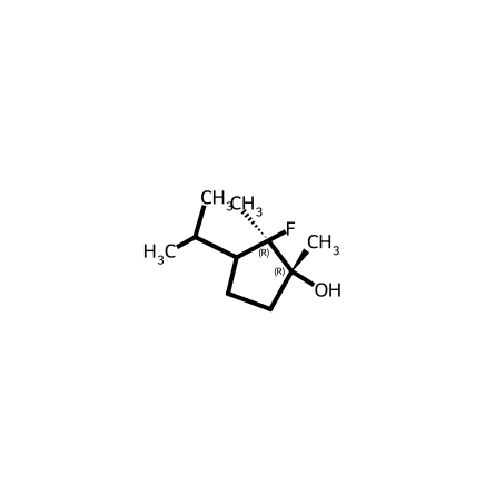 CC(C)C1CC[C@@](C)(O)[C@]1(C)F